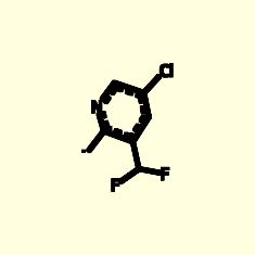 [CH2]c1ncc(Cl)cc1C(F)F